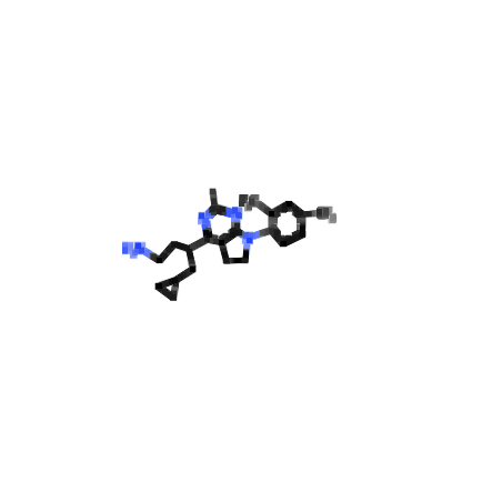 Cc1nc(C(CCN)CC2CC2)c2c(n1)N(c1ccc(C(F)(F)F)cc1C(F)(F)F)CC2